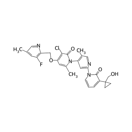 Cc1cnc(COc2cc(C)n(-c3cc(-n4cccc(C5(CO)CC5)c4=O)ncc3C)c(=O)c2Cl)c(F)c1